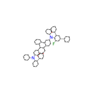 Fc1cc(-c2ccccc2)cc(-c2ccccc2)c1N(c1ccccc1)c1ccc2c(c1)c1ccccc1c1c3ccc(N(c4ccccc4)c4ccccc4-c4ccccc4)cc3ccc21